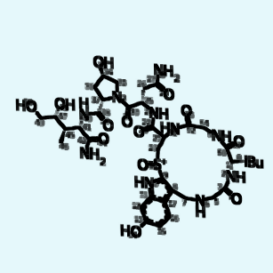 CC[C@H](C)[C@@H]1NC(=O)CNCc2c([nH]c3cc(O)ccc23)[S+]([O-])CC(C(=O)N[C@@H](CC(N)=O)C(=O)N2C[C@H](O)C[C@H]2C(=O)N[C@H](C(N)=O)[C@@H](C)[C@@H](O)CO)NC(=O)CNC1=O